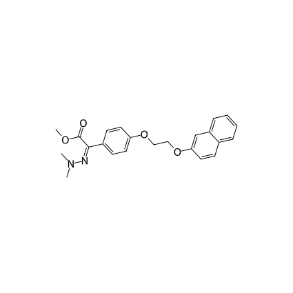 COC(=O)C(=NN(C)C)c1ccc(OCCOc2ccc3ccccc3c2)cc1